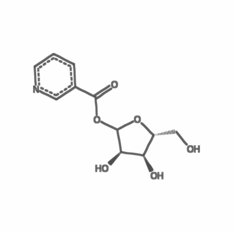 O=C(OC1O[C@H](CO)[C@@H](O)[C@H]1O)c1cccnc1